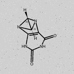 O=c1[nH]c2c(c(=O)[nH]1)N1[C@@H]3[C@@H]1N23